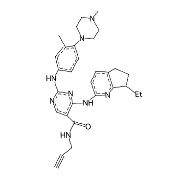 C#CCNC(=O)c1cnc(Nc2ccc(N3CCN(C)CC3)c(C)c2)nc1Nc1ccc2c(n1)C(CC)CC2